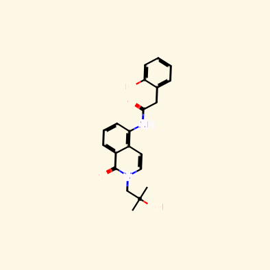 CC(C)(O)Cn1ccc2c(NC(=O)Cc3ccccc3O)cccc2c1=O